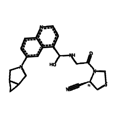 N#C[C@@H]1CSCN1C(=O)CNC(O)c1ccnc2ccc(N3CC4CC4C3)cc12